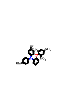 CC(=O)c1ccc(N(c2ccc(C(C)(C)C)cc2)c2ccccc2Oc2c([N+](=O)[O-])cc([N+](=O)[O-])cc2[N+](=O)[O-])cc1